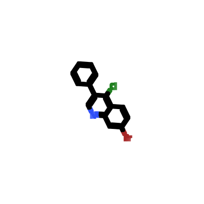 Clc1c(-c2ccccc2)cnc2cc(Br)ccc12